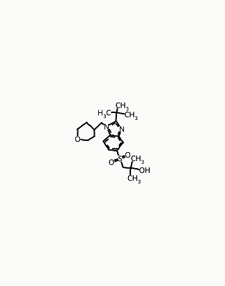 CC(C)(O)CS(=O)(=O)c1ccc2c(c1)nc(C(C)(C)C)n2CC1CCOCC1